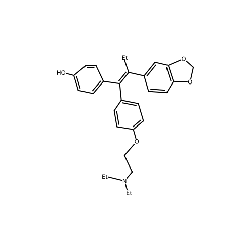 CCC(=C(c1ccc(O)cc1)c1ccc(OCCN(CC)CC)cc1)c1ccc2c(c1)OCO2